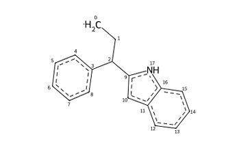 [CH2]CC(c1ccccc1)c1cc2ccccc2[nH]1